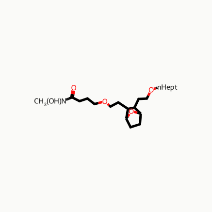 CCCCCCCOCCC1C2CCC(O2)C1CCOCCCC(=O)N(C)O